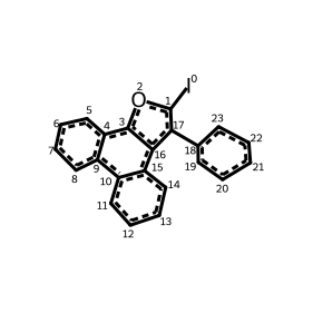 Ic1oc2c3ccccc3c3ccccc3c2c1-c1ccccc1